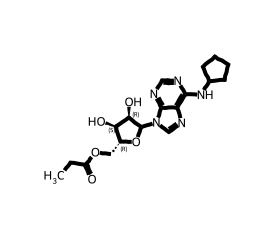 CCC(=O)OC[C@H]1OC(n2cnc3c(NC4CCCC4)ncnc32)[C@H](O)[C@@H]1O